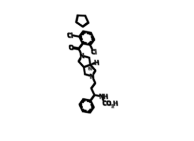 C1CCCC1.O=C(O)NC(CCN1CC2CN(C(=O)c3c(Cl)cccc3Cl)C[C@@H]2C1)c1ccccc1